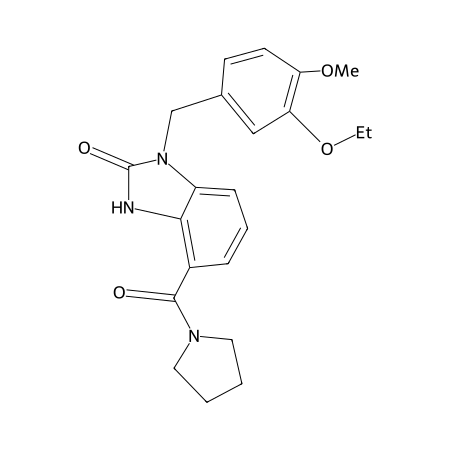 CCOc1cc(Cn2c(=O)[nH]c3c(C(=O)N4CCCC4)cccc32)ccc1OC